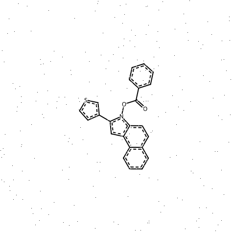 O=C(On1c(-c2ccsc2)cc2c3ccccc3ccc21)c1ccccc1